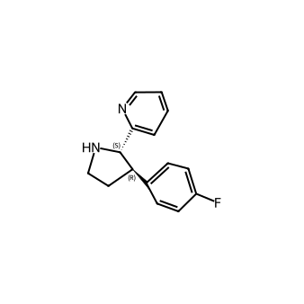 Fc1ccc([C@H]2CCN[C@@H]2c2ccccn2)cc1